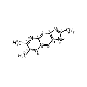 Cc1nc2cc3nc(C)c(C)nc3cc2[nH]1